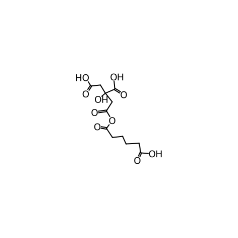 O=C(O)CCCCC(=O)OC(=O)CC(O)(CC(=O)O)C(=O)O